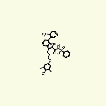 Cc1cc(OCCCc2c(C(=O)NS(=O)(=O)c3ccccc3)[nH]c3c(-c4cnccc4C(F)(F)F)cccc23)cc(C)c1Cl